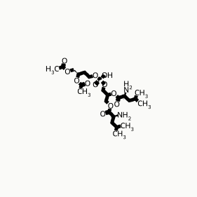 CC(=O)OC[C@H](CCOP(=O)(O)OCC(COC(=O)[C@@H](N)CC(C)C)OC(=O)[C@@H](N)CC(C)C)OC(C)=O